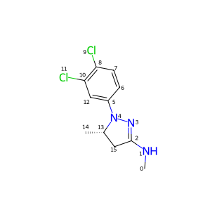 CNC1=NN(c2ccc(Cl)c(Cl)c2)[C@@H](C)C1